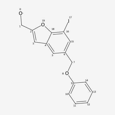 [O]Cc1cc2cc(COc3ccccc3)cc(I)c2o1